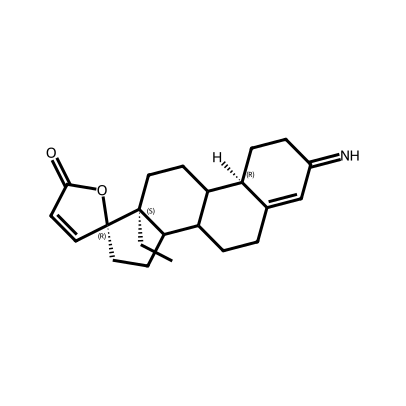 CC[C@]12CCC3C(CCC4=CC(=N)CC[C@@H]43)C1CC[C@@]21C=CC(=O)O1